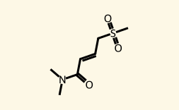 CN(C)C(=O)/C=C/CS(C)(=O)=O